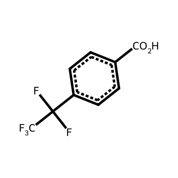 O=C(O)c1ccc(C(F)(F)C(F)(F)F)cc1